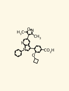 Cc1noc(C)c1-c1cnc2c(c1)c(-c1ccc(C(=O)O)cc1OC1CCC1)cn2-c1ccccc1